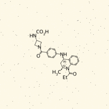 CCC(=O)N1c2ccccc2[C@H](Nc2ccc(C(=O)N3CC(NC(=O)O)C3)cc2)C[C@@H]1C